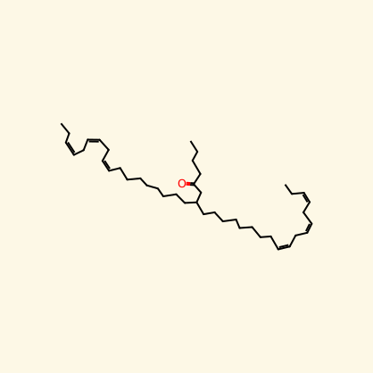 CC/C=C\C/C=C\C/C=C\CCCCCCCCC(CCCCCCCC/C=C\C/C=C\C/C=C\CC)CC(=O)CCCC